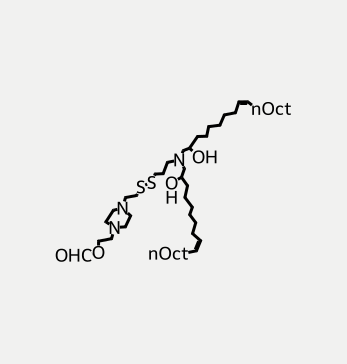 CCCCCCCC/C=C\CCCCCCC(O)CN(CCCSSCCN1CCN(CCOC=O)CC1)CC(O)CCCCCC/C=C\CCCCCCCC